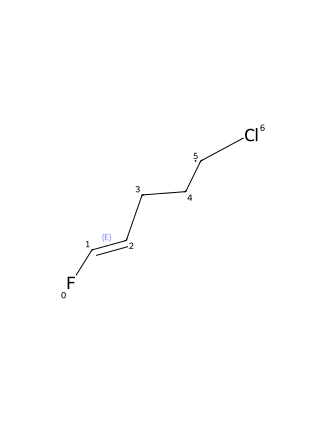 F/C=C/CC[CH]Cl